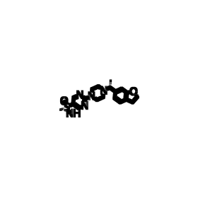 C[C@H](c1ccc2c(c1)OCC2)N1CCN(c2ncc([S@@](C)(=N)=O)cn2)CC1